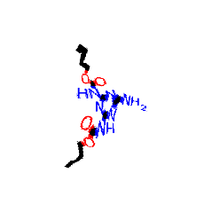 CCCCOC(=O)Nc1nc(N)nc(NC(=O)OCCCC)n1